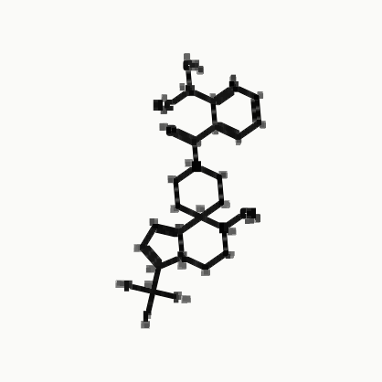 CN(C)c1ncccc1C(=O)N1CCC2(CC1)c1ccc(C(F)(F)F)n1CCN2C